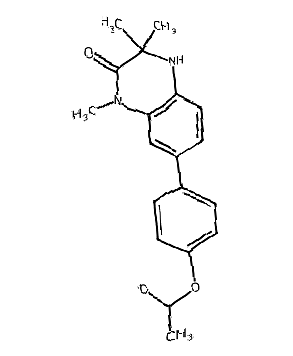 CC([O])Oc1ccc(-c2ccc3c(c2)N(C)C(=O)C(C)(C)N3)cc1